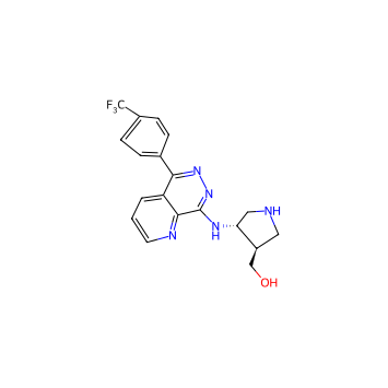 OC[C@@H]1CNC[C@H]1Nc1nnc(-c2ccc(C(F)(F)F)cc2)c2cccnc12